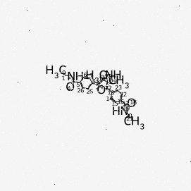 CCNC(=O)c1ccc(-c2ccc(-c3ccc(C(=O)NCC)cc3)o2)cc1.CNC